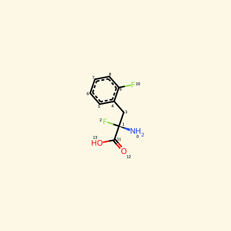 N[C@@](F)(Cc1ccccc1F)C(=O)O